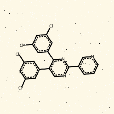 Clc1cc(Cl)cc(-c2cnc(-c3cccnc3)nc2-c2cc(Cl)cc(Cl)c2)c1